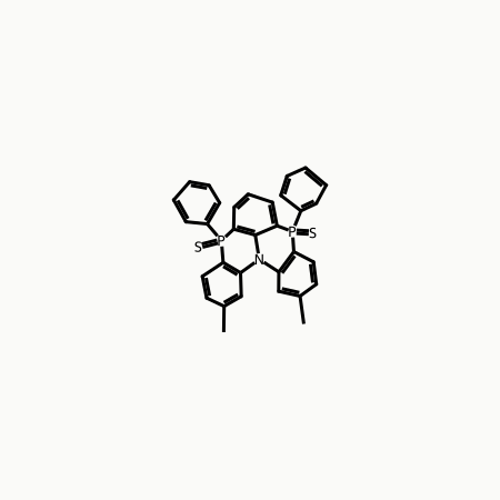 Cc1ccc2c(c1)N1c3cc(C)ccc3P(=S)(c3ccccc3)c3cccc(c31)P2(=S)c1ccccc1